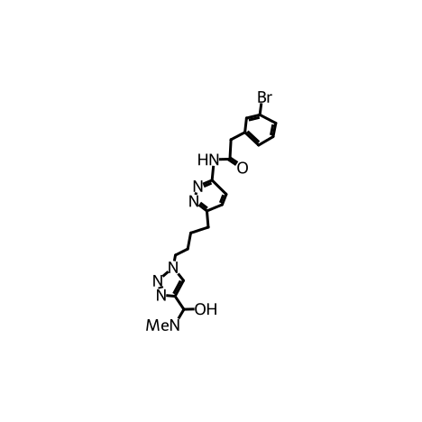 CNC(O)c1cn(CCCCc2ccc(NC(=O)Cc3cccc(Br)c3)nn2)nn1